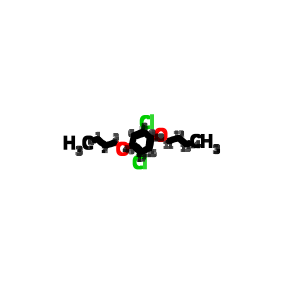 CCCCOc1cc(Cl)c(OCCCC)cc1Cl